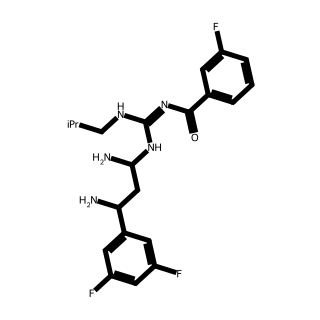 CC(C)CN/C(=N/C(=O)c1cccc(F)c1)NC(N)CC(N)c1cc(F)cc(F)c1